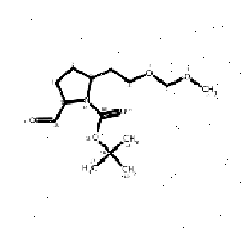 COCOCCC1CCC(C=O)N1C(=O)OC(C)(C)C